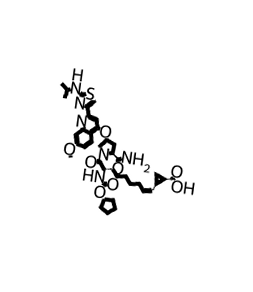 COc1ccc2c(OC3C[C@@H](C(N)=O)N(C(=O)[C@H](CCCCC/C=C\[C@@H]4C[C@@H]4C(=O)O)NC(=O)OC4CCCC4)C3)cc(-c3csc(NC(C)C)n3)nc2c1